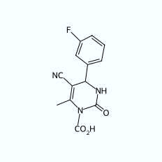 CC1=C(C#N)C(c2cccc(F)c2)NC(=O)N1C(=O)O